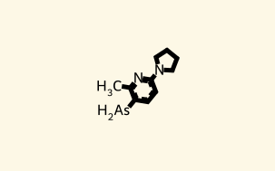 Cc1nc(N2CCCC2)ccc1[AsH2]